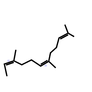 C/C=C(/C)CC/C=C(/C)CCC=C(C)C